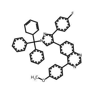 COc1ccc(-c2ncnc3ccc(-c4cn(C(c5ccccc5)(c5ccccc5)C5C=CC=CC5)nc4-c4ccc(F)cc4)cc23)cc1